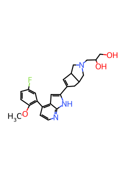 COc1ccc(F)cc1-c1ccnc2[nH]c(C3=CC4CN(CC(O)CO)CC4C3)cc12